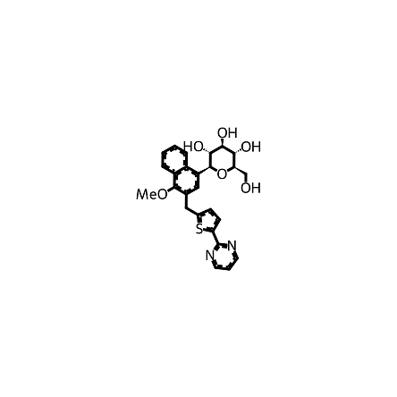 COc1c(Cc2ccc(-c3ncccn3)s2)cc([C@@H]2O[C@H](CO)[C@@H](O)[C@H](O)[C@H]2O)c2ccccc12